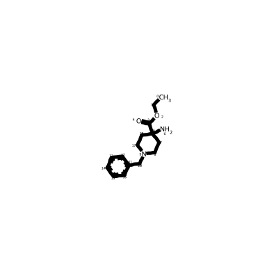 CCOC(=O)C1(N)CCN(Cc2ccccc2)CC1